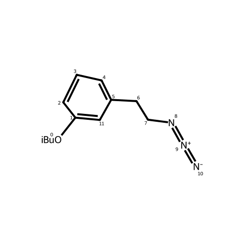 CC(C)COc1cccc(CCN=[N+]=[N-])c1